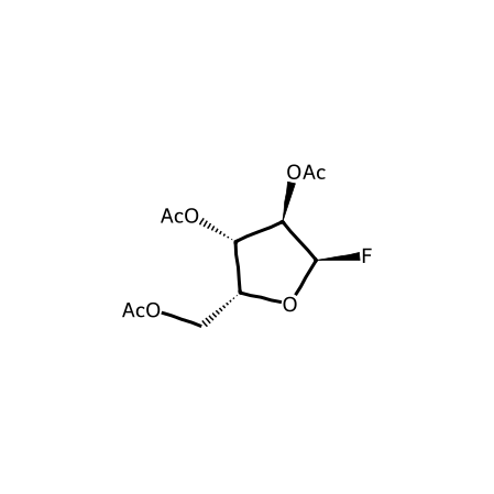 CC(=O)OC[C@H]1O[C@H](F)[C@H](OC(C)=O)[C@H]1OC(C)=O